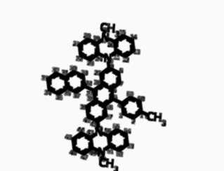 Cc1ccc(-c2c3ccc(N4c5ccccc5N(C)c5ccccc54)cc3c(-c3ccc4ccccc4c3)c3ccc(N4c5ccccc5N(C)c5ccccc54)cc23)cc1